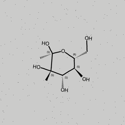 C[C@]1(O)O[C@H](CO)[C@@H](O)[C@H](O)[C@]1(C)O